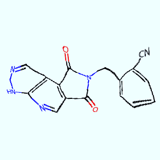 N#Cc1ccccc1CN1C(=O)c2cnc3[nH]ncc3c2C1=O